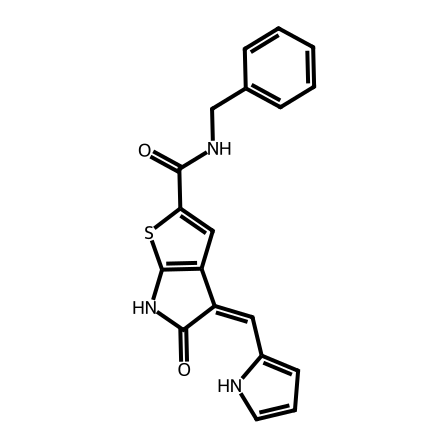 O=C1Nc2sc(C(=O)NCc3ccccc3)cc2C1=Cc1ccc[nH]1